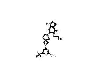 CCCn1c(N2CCC3(CN(c4cc(C(F)(F)F)nc(C)n4)C3)C2)nc2[nH]ncc2c1=O